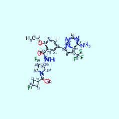 CCOc1ccc(-c2cc(C(F)(F)F)c3c(N)ncnn23)cc1C(=O)N[C@@H]1CN(C(=O)C2CC(F)C2)C[C@@H]1F